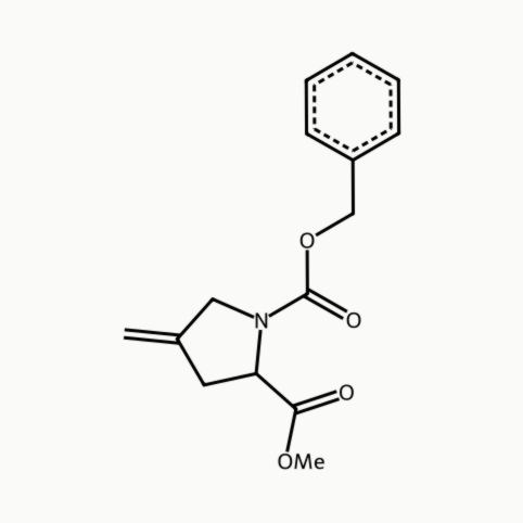 C=C1CC(C(=O)OC)N(C(=O)OCc2ccccc2)C1